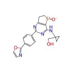 [O-][S@+]1CCc2nc(-c3ccc(-c4ncco4)cc3)nc(NC3(CO)CC3)c21